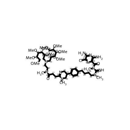 COC[C@@H](OC)[C@@H](OC)[C@H](OC)[C@H](CN(CCN(C)C(=O)CCC1=NCC(c2ccc(CCCCN(C)C(=N)N(C)C(=O)c3nc(Cl)c(N)nc3N)cc2)CN1C)C[C@H](OC)[C@@H](OC)[C@H](OC)[C@@H](COC)OC)OC